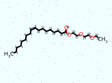 CCCCCCCC/C=C\CCCCCCCC(=O)OCCOCCOCC